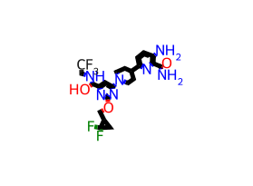 NC(=O)c1nc(C2CCN(c3cc(C(O)NCC(F)(F)F)nc(OCC4CC4(F)F)n3)CC2)ccc1N